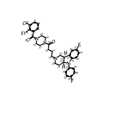 CCc1c(Cl)cccc1C(=O)N1CCN(C(=O)CCCN2CC[C@@H]3[C@@H](C2)c2cc(F)ccc2N3c2ccc(F)cc2)CC1